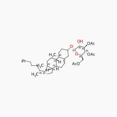 CC(=O)OC[C@H]1O[C@H](OC2CC[C@@]3(C)C(=CC[C@H]4[C@@H]5CC[C@H]([C@H](C)CCCC(C)C)[C@@]5(C)CC[C@@H]43)C2)[C@H](O)[C@@H](OC(C)=O)[C@@H]1OC(C)=O